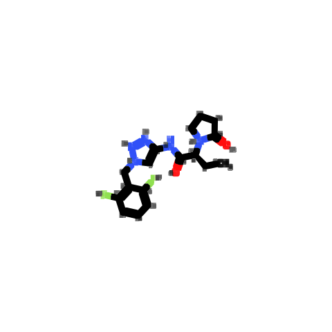 CC[C@@H](C(=O)Nc1cn(Cc2c(F)cccc2F)nn1)N1CCCC1=O